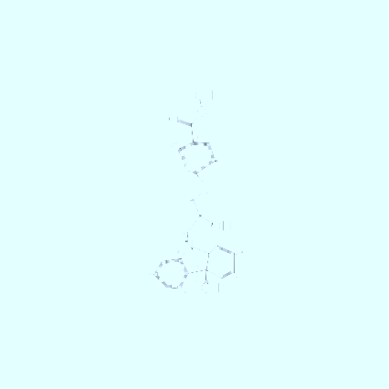 COC(=O)c1ccc(OCC(O)CN2c3ccccc3C3(C)C=CC=CC23)cc1